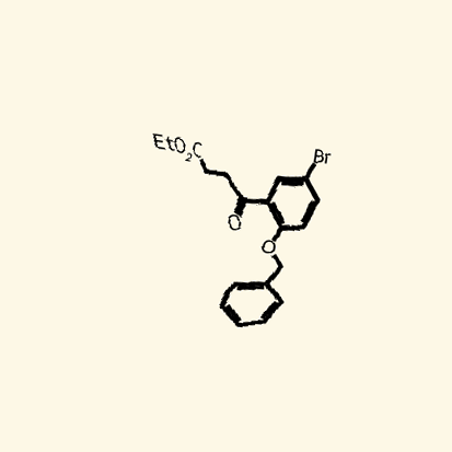 CCOC(=O)CCC(=O)c1cc(Br)ccc1OCc1ccccc1